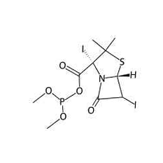 COP(OC)OC(=O)[C@]1(I)N2C(=O)C(I)[C@H]2SC1(C)C